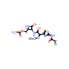 CON=C(C(=O)NC1C(=O)NC1COC(N)=O)c1csc(NC(=O)CCl)n1